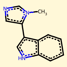 Cn1cncc1-c1c[nH]c2ccccc12